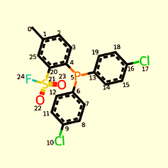 Cc1ccc(P(c2ccc(Cl)cc2)c2ccc(Cl)cc2)c(S(=O)(=O)F)c1